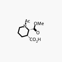 COC(=O)[C@@H]1[C@H](C(=O)O)CCCN1C(C)=O